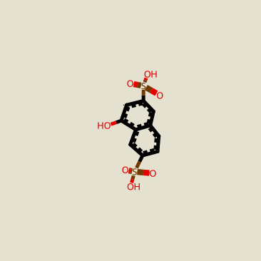 O=S(=O)(O)c1[c]c(O)c2cc(S(=O)(=O)O)ccc2c1